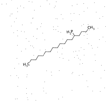 CCCCCCCCCCCCCC(P)CCCC